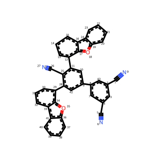 N#Cc1cc(C#N)cc(-c2cc(-c3cccc4c3oc3ccccc34)c(C#N)c(-c3cccc4c3oc3ccccc34)c2)c1